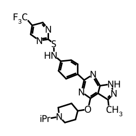 Cc1n[nH]c2nc(-c3ccc(NSc4ncc(C(F)(F)F)cn4)cc3)nc(OC3CCN(C(C)C)CC3)c12